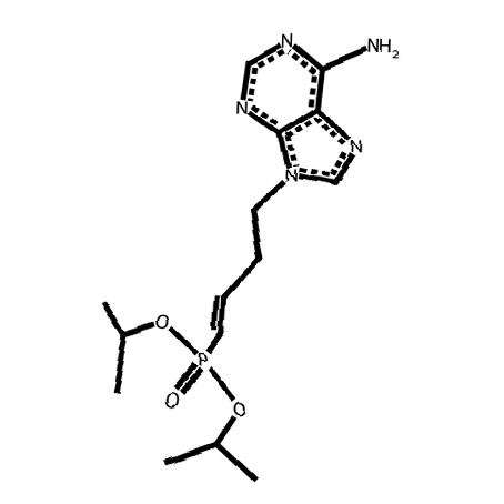 CC(C)OP(=O)(C=CCCn1cnc2c(N)ncnc21)OC(C)C